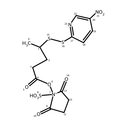 CC(CCC(=O)O[N+]1(S(=O)(=O)O)C(=O)CCC1=O)SSc1ccc([N+](=O)[O-])cn1